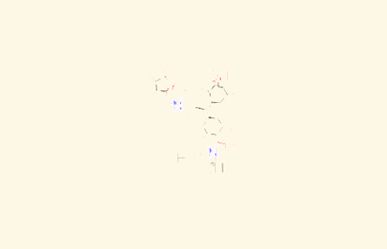 CCN(CC)C(=O)c1ccc(C(=C2CCN(Cc3ccco3)CC2)c2cccc(O)c2)cc1